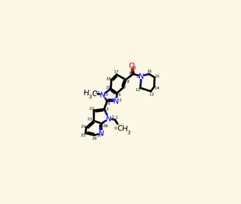 CCn1c(-c2nc3cc(C(=O)N4CCCCC4)ccc3n2C)cc2cccnc21